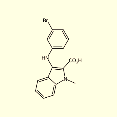 Cn1c(C(=O)O)c(Nc2cccc(Br)c2)c2ccccc21